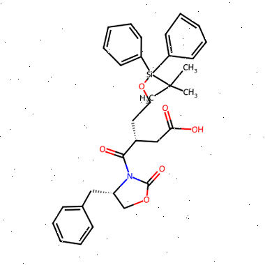 CC(C)(C)[Si](OCC[C@H](CC(=O)O)C(=O)N1C(=O)OC[C@@H]1Cc1ccccc1)(c1ccccc1)c1ccccc1